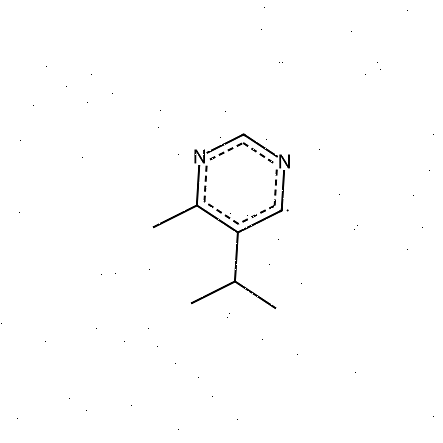 Cc1ncn[c]c1C(C)C